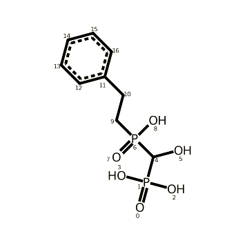 O=P(O)(O)C(O)P(=O)(O)CCc1ccccc1